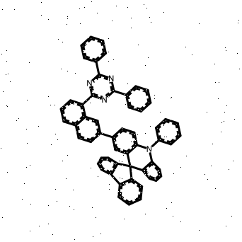 c1ccc(-c2nc(-c3ccccc3)nc(-c3cccc4ccc(-c5ccc6c(c5)C5(c7ccccc7-c7ccccc75)c5ccccc5N6c5ccccc5)cc34)n2)cc1